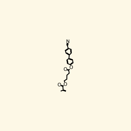 C=C(C)C(=O)OCCCCC(=O)Oc1ccc(-c2ccc(C#N)cc2)cc1